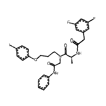 C[C@H](NC(=O)Cc1cc(F)cc(F)c1)C(=O)N(CCCOc1ccc(I)cc1)CC(=O)Nc1ccccc1